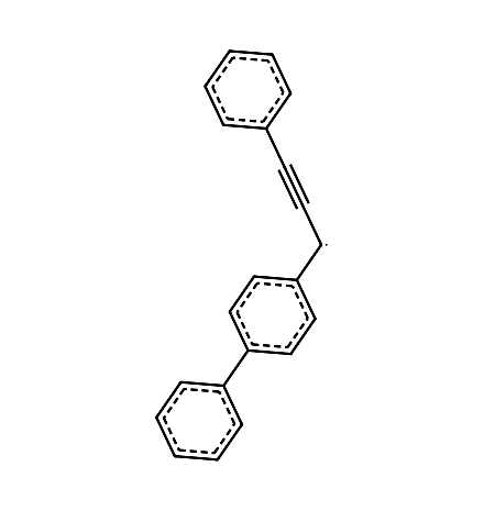 C(#Cc1ccccc1)[CH]c1ccc(-c2ccccc2)cc1